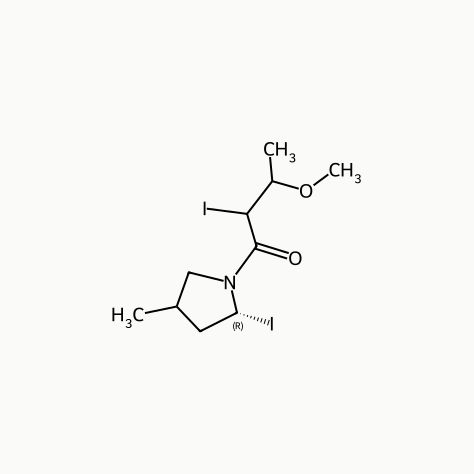 COC(C)C(I)C(=O)N1CC(C)C[C@H]1I